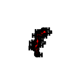 C=C(/N=C(\N=C(/N)Cl)Nc1ccc2c(O)c(/N=N/c3ccc(/N=N/c4ccc(S(=O)(=O)O)cc4)cc3S(=O)(=O)O)c(S(=O)(=O)O)cc2c1S(=O)(=O)O)N1CCN(CCNc2nc(Cl)nc(Nc3cc(S(=O)(=O)O)c(/N=N/c4c(C)c(C(N)=O)c(=O)n(CC)c4O)cc3S(=O)(=O)O)n2)CC1